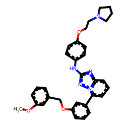 COc1cccc(COc2cccc(-c3cccc4nc(Nc5ccc(OCCN6CCCC6)cc5)nn34)c2)c1